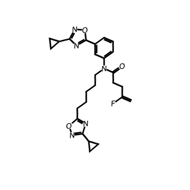 C=C(F)CCC(=O)N(CCCCCc1nc(C2CC2)no1)c1cccc(-c2nc(C3CC3)no2)c1